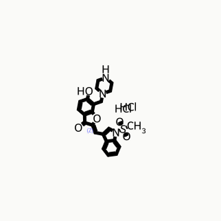 CS(=O)(=O)n1cc(/C=C2\Oc3c(ccc(O)c3CN3CCNCC3)C2=O)c2ccccc21.Cl.Cl